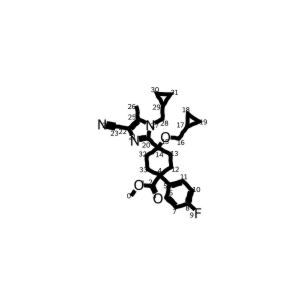 COC(=O)C1(c2ccc(F)cc2)CCC(OCC2CC2)(c2nc(C#N)c(C)n2CC2CC2)CC1